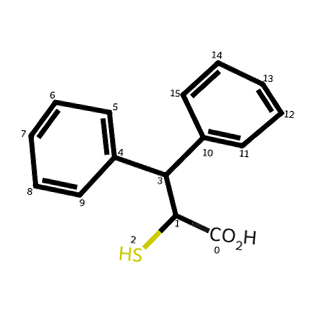 O=C(O)C(S)C(c1ccccc1)c1ccccc1